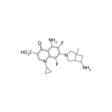 CC12CC(N)C1CN(c1c(F)c(N)c3c(=O)c(C(=O)O)cn(C4CC4)c3c1F)C2